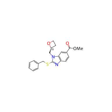 COC(=O)c1ccc2nc(SCc3ccccc3)n(C[C@@H]3CCO3)c2c1